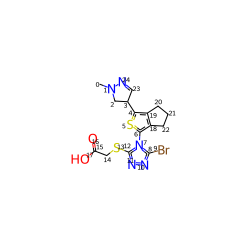 CN1CC(c2sc(-n3c(Br)nnc3SCC(=O)O)c3c2CCC3)C=N1